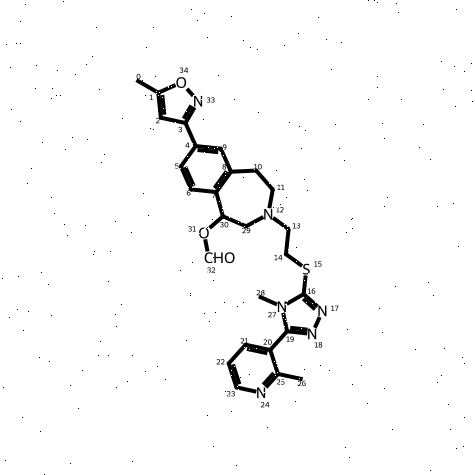 Cc1cc(-c2ccc3c(c2)CCN(CCSc2nnc(-c4cccnc4C)n2C)CC3OC=O)no1